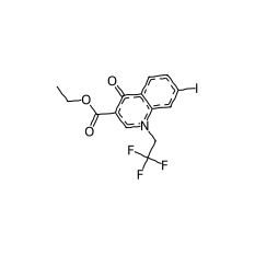 CCOC(=O)c1cn(CC(F)(F)F)c2cc(I)ccc2c1=O